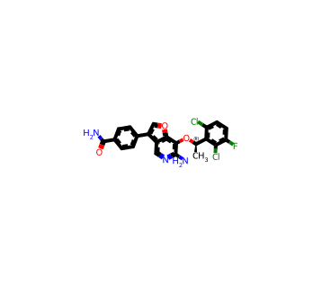 C[C@@H](Oc1c(N)ncc2c(-c3ccc(C(N)=O)cc3)coc12)c1c(Cl)ccc(F)c1Cl